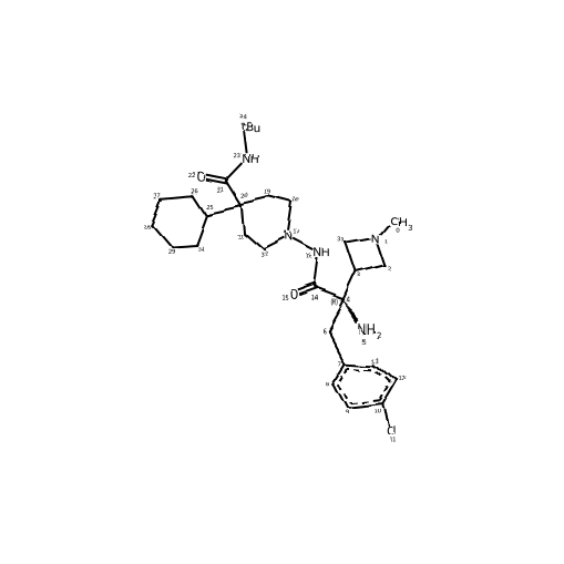 CN1CC([C@](N)(Cc2ccc(Cl)cc2)C(=O)NN2CCC(C(=O)NC(C)(C)C)(C3CCCCC3)CC2)C1